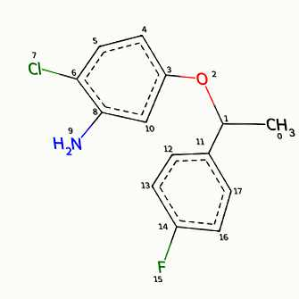 CC(Oc1ccc(Cl)c(N)c1)c1ccc(F)cc1